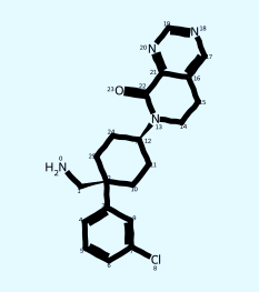 NC[C@]1(c2cccc(Cl)c2)CC[C@H](N2CCc3cncnc3C2=O)CC1